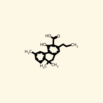 CCCc1cc2c(c(O)c1C(=O)O)-c1cc(C)ccc1C(C)(C)C2